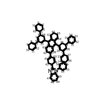 C1=CCC(C2C=C(C3=CCCC=C3)C=C(c3c4c(c(C5=CC(C6=CCCC=C6)=CC(c6ccccc6)C5)c5cc(C6=CCC(c7nc8ccccc8n7-c7ccccc7)C=C6)ccc35)=CCCC=4)C2)C=C1